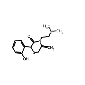 C=C1CSC(c2ccccc2O)C(=O)N1CCN(C)C